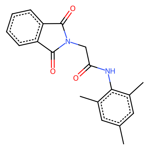 Cc1cc(C)c(NC(=O)CN2C(=O)c3ccccc3C2=O)c(C)c1